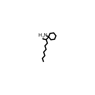 CCCCCCCC(C)C1(N)CCCCC1